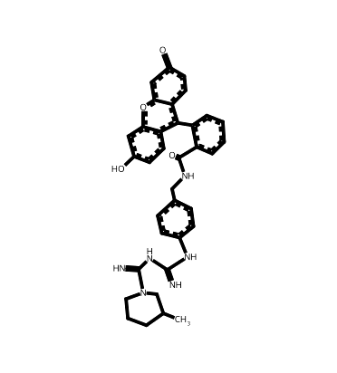 CC1CCCN(C(=N)NC(=N)Nc2ccc(CNC(=O)c3ccccc3-c3c4ccc(=O)cc-4oc4cc(O)ccc34)cc2)C1